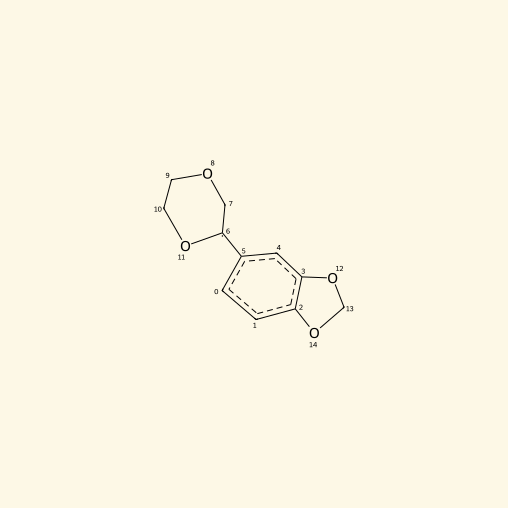 c1cc2c(cc1[C]1COCCO1)OCO2